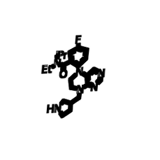 CCN(C(=O)c1cc(F)ccc1N1CCN(CC2CCNC2)c2ncncc21)C(C)C